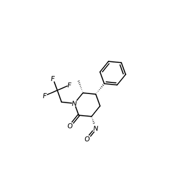 C[C@@H]1[C@H](c2ccccc2)C[C@H](N=O)C(=O)N1CC(F)(F)F